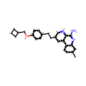 Cc1ccc2c(c1)nc(N)c1ncc(CCc3ccc(OCC4CCC4)cc3)cc12